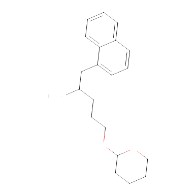 O=C(O)C(CCCOC1CCCCO1)Cc1cccc2ccccc12